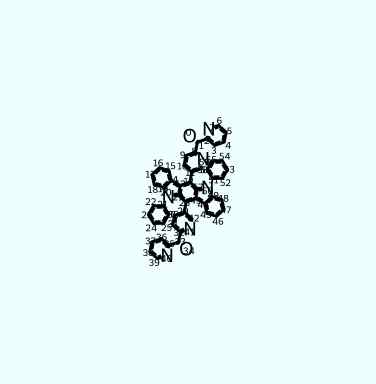 O=C(c1ccccn1)c1ccc(-c2c3c4ccccc4n(-c4ccccc4)c3c(-c3ccc(C(=O)c4ccccn4)nc3)c3c4ccccc4n(-c4ccccc4)c23)cn1